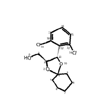 OC[C@@H]1OC2(CCCCC2)O[C@H]1c1c(Cl)cccc1Cl